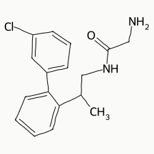 CC(CNC(=O)CN)c1ccccc1-c1cccc(Cl)c1